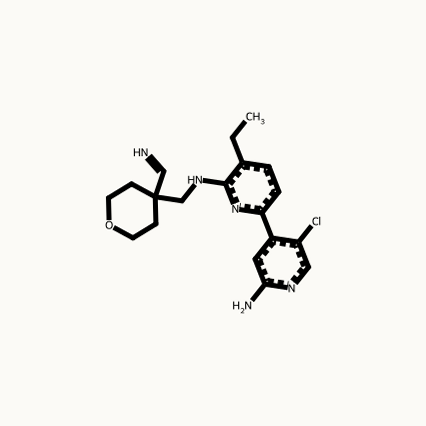 CCc1ccc(-c2cc(N)ncc2Cl)nc1NCC1(C=N)CCOCC1